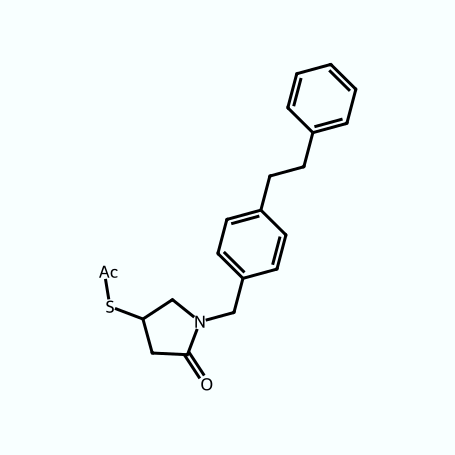 CC(=O)SC1CC(=O)N(Cc2ccc(CCc3ccccc3)cc2)C1